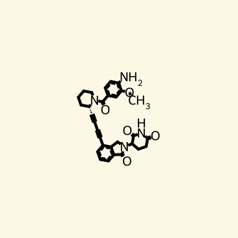 COc1cc(C(=O)N2CCCC[C@H]2C#CC#Cc2cccc3c2CN(C2CCC(=O)NC2=O)C3=O)ccc1N